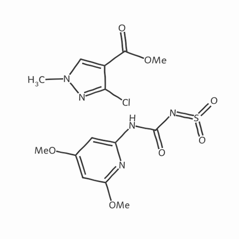 COC(=O)c1cn(C)nc1Cl.COc1cc(NC(=O)N=S(=O)=O)nc(OC)c1